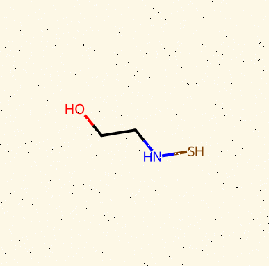 OCCNS